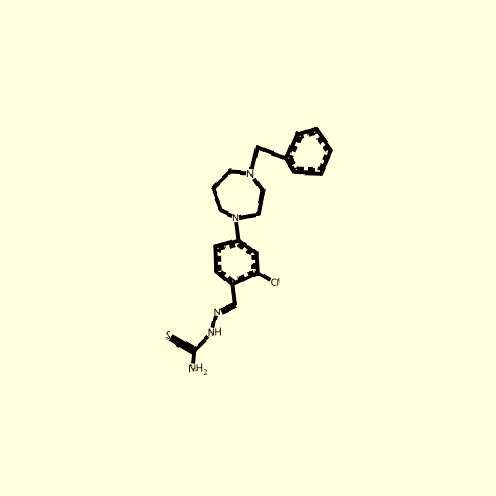 NC(=S)N/N=C/c1ccc(N2CCCN(Cc3ccccc3)CC2)cc1Cl